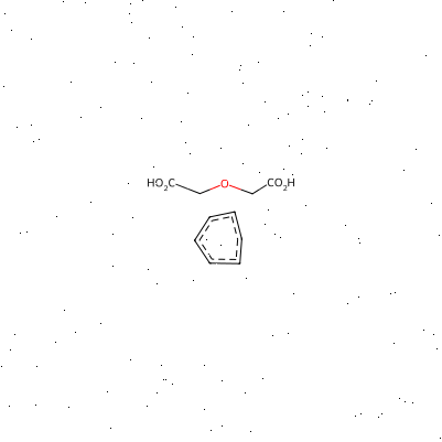 O=C(O)COCC(=O)O.c1ccccc1